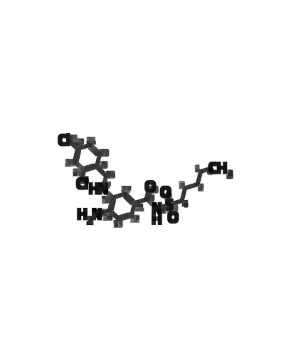 CCCCCS(=O)(=O)NC(=O)c1ccc(N)c(NCc2ccc(Cl)cc2Cl)c1